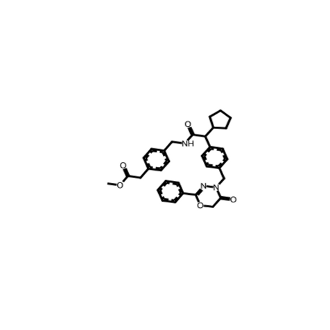 COC(=O)Cc1ccc(CNC(=O)C(c2ccc(CN3N=C(c4ccccc4)OCC3=O)cc2)C2CCCC2)cc1